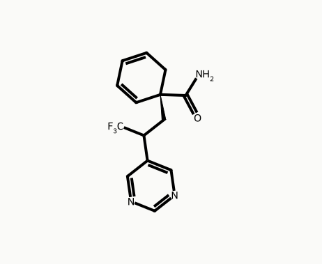 NC(=O)[C@]1(CC(c2cncnc2)C(F)(F)F)C=CC=CC1